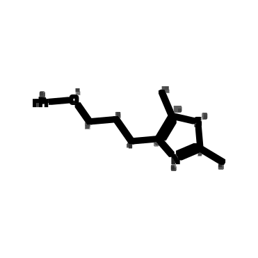 CCCOCCCc1nc(C)sc1C